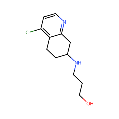 OCCCNC1CCc2c(Cl)ccnc2C1